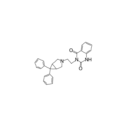 O=c1[nH]c2ccccc2c(=O)n1CCN1CC2C(C1)C2(c1ccccc1)c1ccccc1